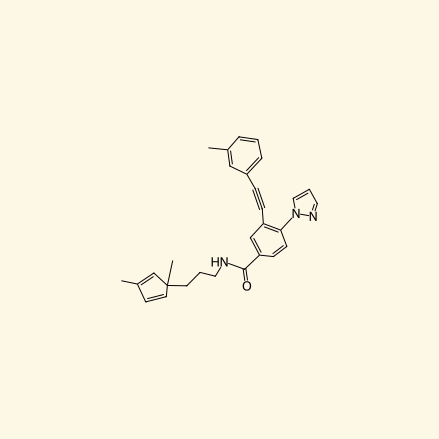 CC1=CC(C)(CCCNC(=O)c2ccc(-n3cccn3)c(C#Cc3cccc(C)c3)c2)C=C1